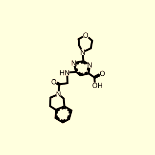 O=C(O)c1cc(NCC(=O)N2CCc3ccccc3C2)nc(N2CCOCC2)n1